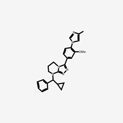 COc1cc(-c2nnc3n2CCCN3C(c2ccccc2)C2CC2)ccc1-n1cnc(C)c1